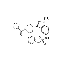 Cn1cc(C2CCN(C(=O)C3CCCC3)CC2)c2cc(NS(=O)(=O)Cc3ccccc3)ccc21